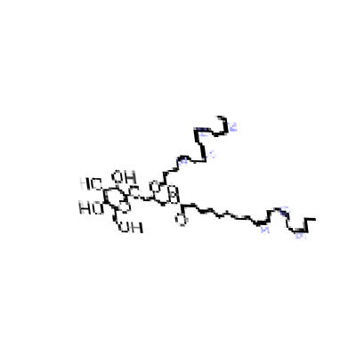 C/C=C\C/C=C\C/C=C\C/C=C\CCC(=O)OC(COC(=O)CCCCCCC/C=C\C/C=C\C/C=C\CC)COC1OC(CO)C(O)C(O)C1O